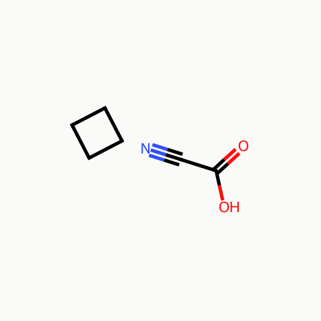 C1CCC1.N#CC(=O)O